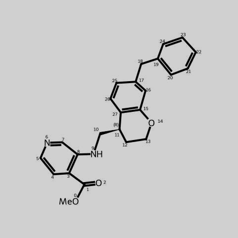 COC(=O)c1ccncc1NC[C@@H]1CCOc2cc(Cc3ccccc3)ccc21